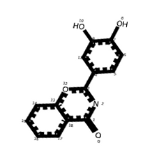 O=c1nc(-c2ccc(O)c(O)c2)oc2ccccc12